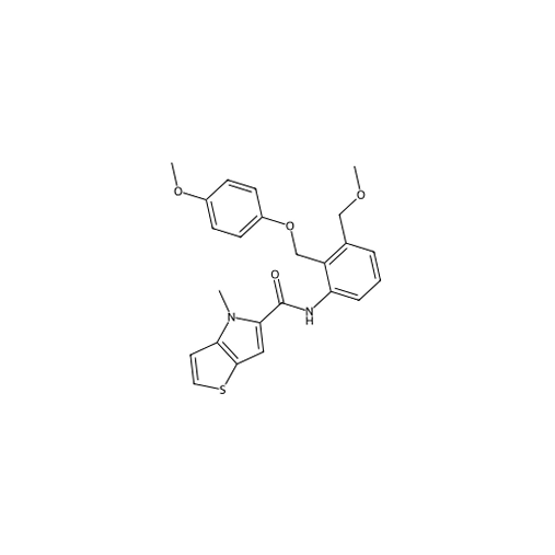 COCc1cccc(NC(=O)c2cc3sccc3n2C)c1COc1ccc(OC)cc1